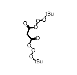 CC(C)(C)OOOC(=O)CC(=O)OOOC(C)(C)C